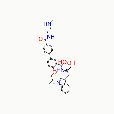 CCCOc1ccc(-c2ccc(C(=O)NCCNC)cc2)cc1[C@H](O)N[C@@H](CO)Cc1cn(C)c2ccccc12